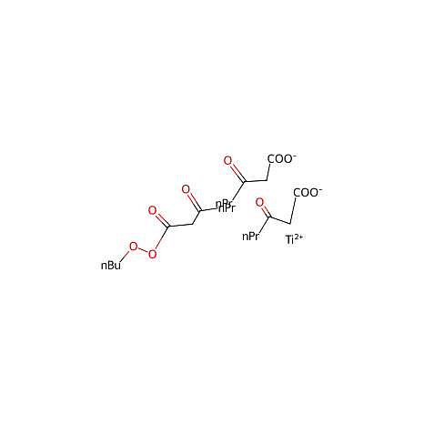 CCCC(=O)CC(=O)[O-].CCCC(=O)CC(=O)[O-].CCCCOOC(=O)CC(=O)CCC.[Ti+2]